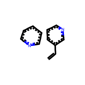 C=Cc1cccnc1.c1ccncc1